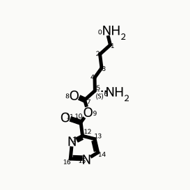 NCCCC[C@H](N)C(=O)OC(=O)c1ccncn1